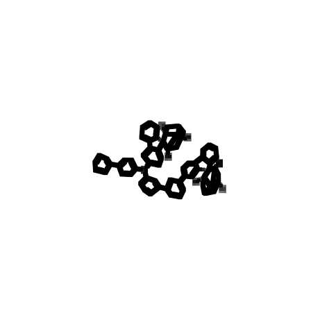 c1ccc(-c2ccc(N(c3cccc(-c4cccc(-c5ccc6c(c5)[C@]5(c7ccccc7-6)[C@H]6CC7C[C@H](C6)C[C@H]5C7)c4)c3)c3ccc4c(c3)-c3ccccc3[C@]43[C@@H]4CC5C[C@@H](C4)C[C@@H]3C5)cc2)cc1